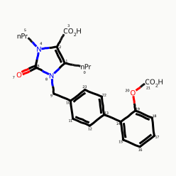 CCCc1c(C(=O)O)n(CCC)c(=O)n1Cc1ccc(-c2ccccc2OC(=O)O)cc1